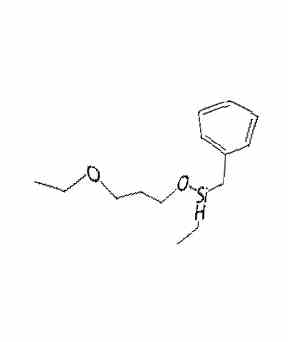 CCOCCCO[SiH](CC)Cc1ccccc1